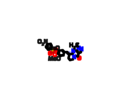 COc1cc(/C=C2\CCCn3c2nc2c(cnn2C)c3=O)cc(OC)c1OS(=O)(=O)c1ccc([N+](=O)[O-])cc1